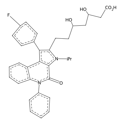 CC(C)n1c(CCC(O)CC(O)CC(=O)O)c(-c2ccc(F)cc2)c2c3ccccc3n(-c3ccccc3)c(=O)c21